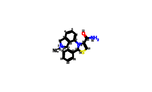 N#CN1Cc2cccc(N3C(C(N)=O)=CSC3c3ccccc3)c2C1